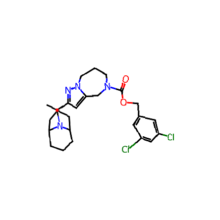 CC(c1cc2n(n1)CCCN(C(=O)OCc1cc(Cl)cc(Cl)c1)C2)N1C2CCCC1CCC2